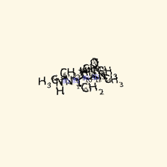 C=CC(=C\N=C(/C)NC)/C(=C/C(=C/N(C)C)NC=O)CC